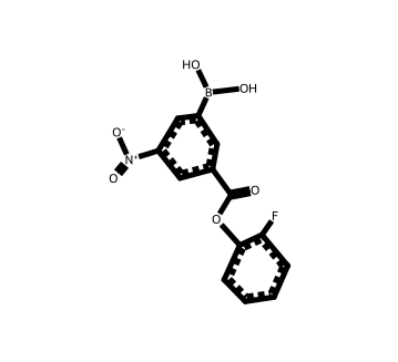 O=C(Oc1ccccc1F)c1cc(B(O)O)cc([N+](=O)[O-])c1